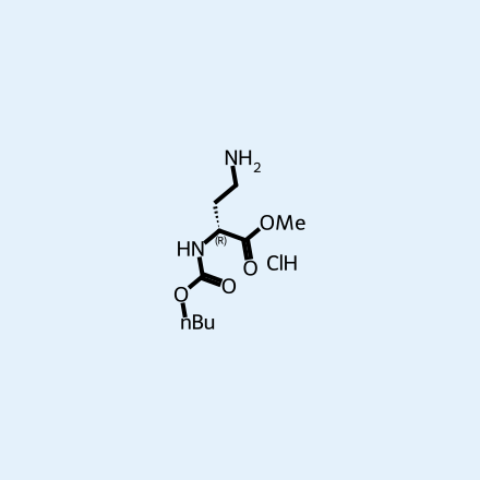 CCCCOC(=O)N[C@H](CCN)C(=O)OC.Cl